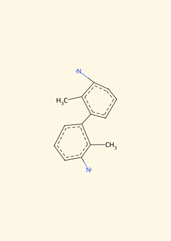 Cc1c([N])cccc1-c1cccc([N])c1C